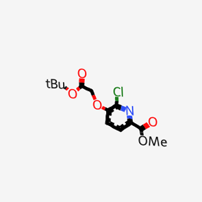 COC(=O)c1ccc(OCC(=O)OC(C)(C)C)c(Cl)n1